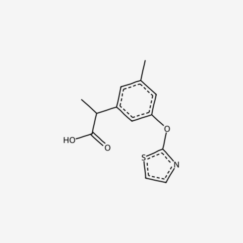 Cc1cc(Oc2nccs2)cc(C(C)C(=O)O)c1